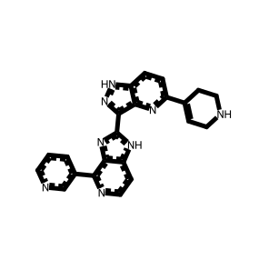 C1=C(c2ccc3[nH]nc(-c4nc5c(-c6cccnc6)nccc5[nH]4)c3n2)CCNC1